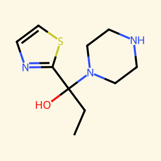 CCC(O)(c1nccs1)N1CCNCC1